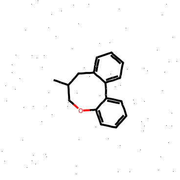 CC1COc2ccccc2-c2ccccc2C1